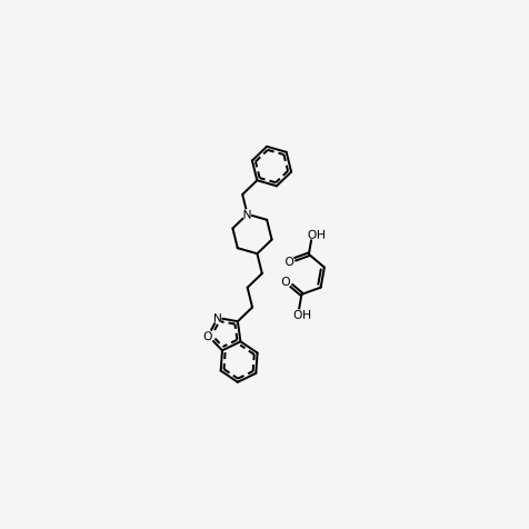 O=C(O)/C=C\C(=O)O.c1ccc(CN2CCC(CCCc3noc4ccccc34)CC2)cc1